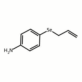 C=CC[Se]c1ccc(N)cc1